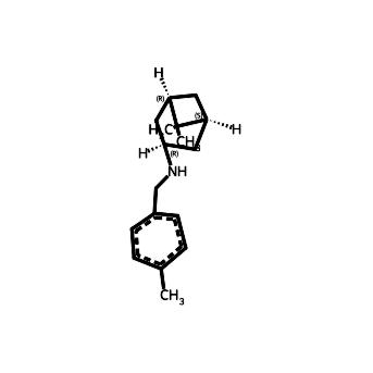 Cc1ccc(CN[C@@H]2C[C@@H]3C[C@H](C2)C3(C)C)cc1